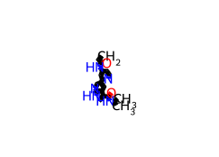 C=CC(=O)Nc1ccnc(-c2cnc3[nH]cc(C(=O)NC(C)C)c3c2)c1